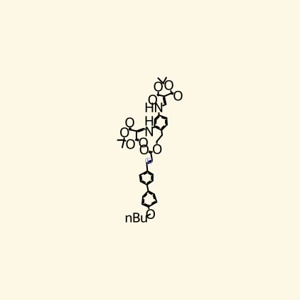 CCCCOc1ccc(-c2ccc(/C=C/C(=O)OCCc3ccc(NC=C4C(=O)OC(C)(C)OC4=O)cc3NC=C3C(=O)OC(C)(C)OC3=O)cc2)cc1